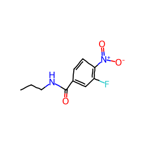 CCCNC(=O)c1ccc([N+](=O)[O-])c(F)c1